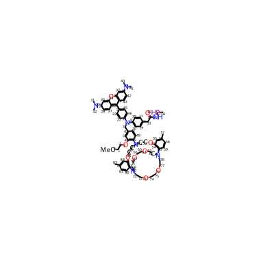 COCCOc1cc(CN(c2ccc(CC(=O)NPC)cc2)c2ccc(-c3c4ccc(=[N+](C)C)cc-4oc4cc(N(C)C)ccc34)cc2)ccc1N1CCOc2cc(C)ccc2N2CCOCCOCCN(CCOCCOCC2)c2ccc(C)cc2OCC1